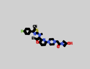 CCc1oc2ccc(N3CCN(CC(=O)N4CC(O)C4)CC3)nc2c1N(C)c1nc(-c2ccc(F)cc2)c(C#N)s1